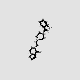 O=C1c2ccnn2CCN1CCN1CCN(c2nsc3ccccc23)CC1